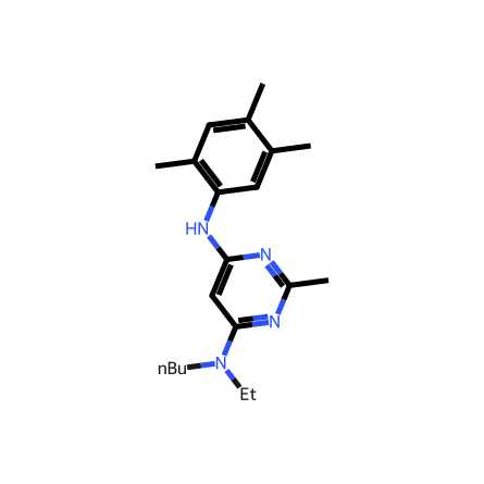 CCCCN(CC)c1cc(Nc2cc(C)c(C)cc2C)nc(C)n1